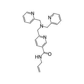 C=CCNC(=O)c1ccc(CN(Cc2ccccn2)Cc2ccccn2)nc1